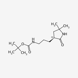 CC1(C)C[C@H](CCCNC(=O)OC(C)(C)C)C(=O)N1